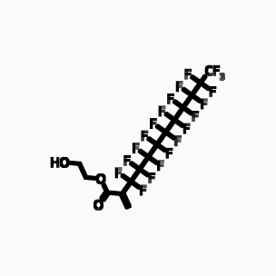 C=C(C(=O)OCCO)C(F)(F)C(F)(F)C(F)(F)C(F)(F)C(F)(F)C(F)(F)C(F)(F)C(F)(F)C(F)(F)C(F)(F)F